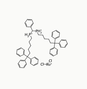 [Cl][Ru+][Cl].c1ccc(C([PH2+]CCCCCC(c2ccccc2)(c2ccccc2)c2ccccc2)[PH2+]CCCCCC(c2ccccc2)(c2ccccc2)c2ccccc2)cc1